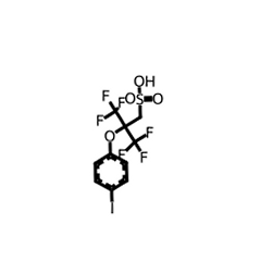 O=S(=O)(O)CC(Oc1ccc(I)cc1)(C(F)(F)F)C(F)(F)F